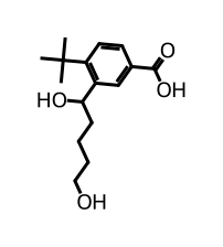 CC(C)(C)c1ccc(C(=O)O)cc1C(O)CCCCO